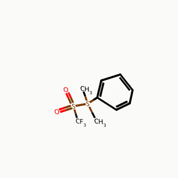 CS(C)(c1ccccc1)S(=O)(=O)C(F)(F)F